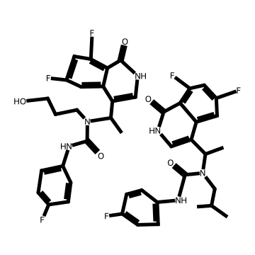 CC(C)CN(C(=O)Nc1ccc(F)cc1)C(C)c1c[nH]c(=O)c2c(F)cc(F)cc12.CC(c1c[nH]c(=O)c2c(F)cc(F)cc12)N(CCCO)C(=O)Nc1ccc(F)cc1